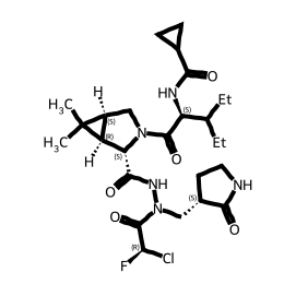 CCC(CC)[C@H](NC(=O)C1CC1)C(=O)N1C[C@H]2[C@@H]([C@H]1C(=O)NN(C[C@@H]1CCNC1=O)C(=O)[C@H](F)Cl)C2(C)C